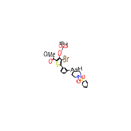 COC(=O)c1sc(-c2cccc([AsH]C3CCN(S(=O)(=O)c4ccccc4)CC3)c2)c(Br)c1OCC(=O)OC(C)(C)C